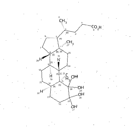 C[C@H](CCC(=O)O)[C@H]1CC[C@H]2[C@@H]3CC[C@@H]4CCC(O)(O)C(O)(O)[C@]4(C)[C@H]3CC[C@]12C